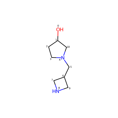 OC1CCN(CC2CNC2)C1